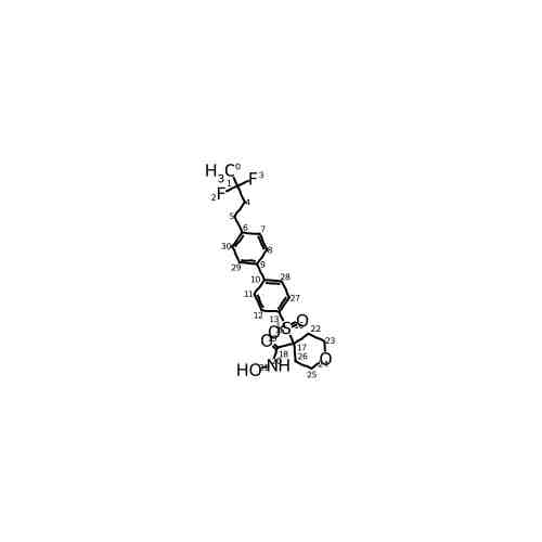 CC(F)(F)CCc1ccc(-c2ccc(S(=O)(=O)C3(C(=O)NO)CCOCC3)cc2)cc1